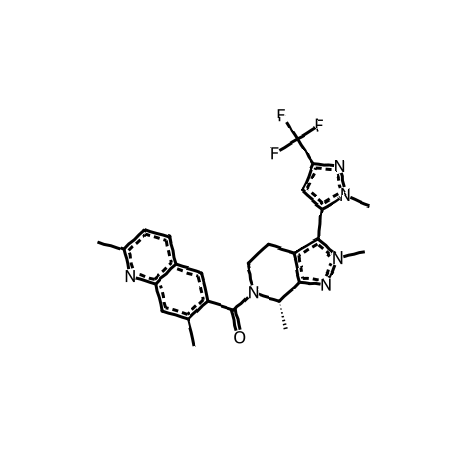 Cc1ccc2cc(C(=O)N3CCc4c(nn(C)c4-c4cc(C(F)(F)F)nn4C)[C@@H]3C)c(C)cc2n1